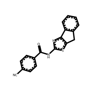 N#Cc1ccc(C(=O)Nc2nc3c(s2)Cc2ccccc2-3)cc1